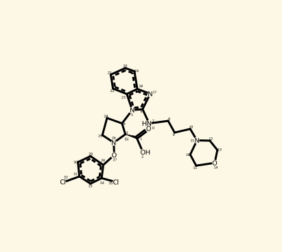 O=C(O)[C@@H]1C(n2c(NCCCN3CCOCC3)nc3ccccc32)CCN1Oc1ccc(Cl)cc1Cl